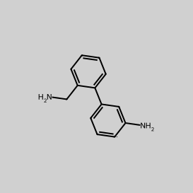 NCc1ccccc1-c1cc[c]c(N)c1